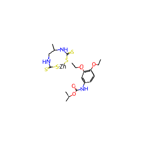 CC1CNC(=S)[S][Zn][S]C(=S)N1.CCOc1ccc(NC(=O)OC(C)C)cc1OCC